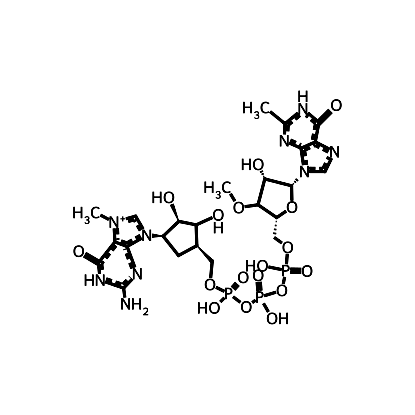 COC1[C@@H](COP(=O)(O)OP(=O)(O)OP(=O)(O)OC[C@H]2C[C@@H](n3c[n+](C)c4c(=O)[nH]c(N)nc43)[C@@H](O)C2O)O[C@@H](n2cnc3c(=O)[nH]c(C)nc32)[C@H]1O